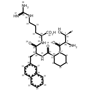 C[C@H](O)[C@@H](N)C(=O)N1CCCC[C@H]1C(=O)N[C@@H](Cc1ccc2ccccc2c1)C(=O)N[C@@H](CCCNC(=N)N)C(=O)O